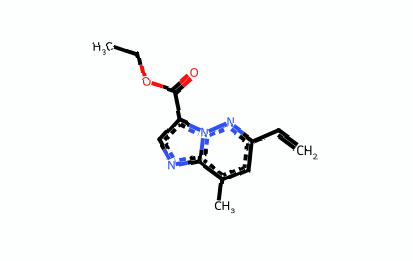 C=Cc1cc(C)c2ncc(C(=O)OCC)n2n1